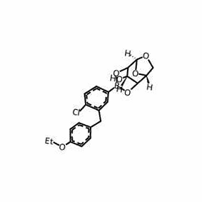 CCOc1ccc(Cc2cc(B3OC4[C@H]5OC[C@@H](O5)C(O3)[C@@H]4O)ccc2Cl)cc1